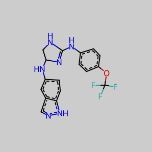 FC(F)(F)Oc1ccc(NC2=NC(Nc3ccc4[nH]ncc4c3)CN2)cc1